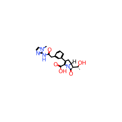 C[C@@H](O)[C@H]1C(=O)N2C(C(=O)O)=C(c3cccc(CC(=O)Nc4nccn4C)c3)C[C@H]12